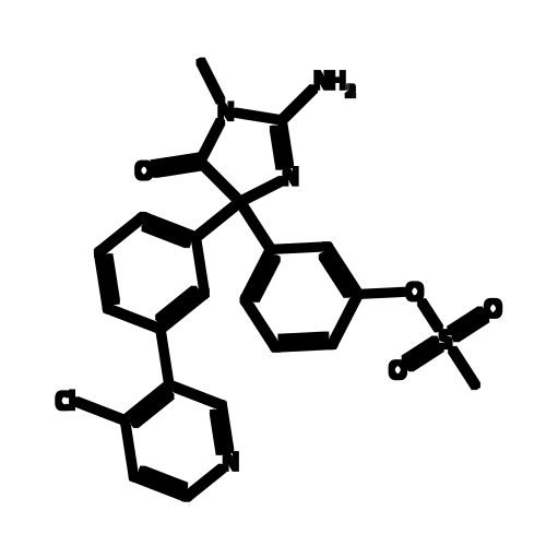 CN1C(=O)C(c2cccc(OS(C)(=O)=O)c2)(c2cccc(-c3cnccc3Cl)c2)N=C1N